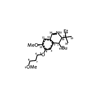 CCC(C)C1c2cc(OCCCOC)c(OC)cc2C=NC1C(C)(C)CC